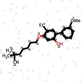 CCc1cc(-c2cccc(OC)c2)c(O)cc1OCCCCCC(C)(C)C#N